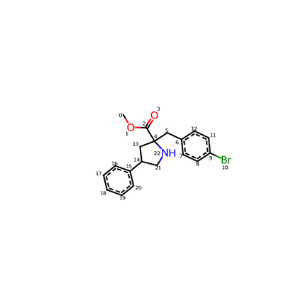 COC(=O)C1(Cc2ccc(Br)cc2)CC(c2ccccc2)CN1